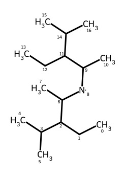 CCC(C(C)C)C(C)[N]C(C)C(CC)C(C)C